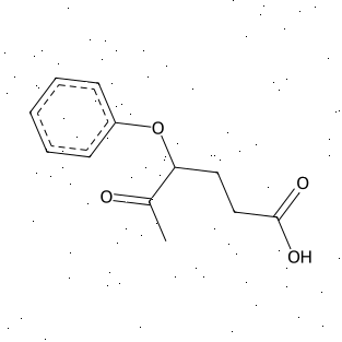 CC(=O)C(CCC(=O)O)Oc1ccccc1